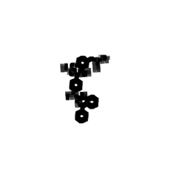 Cc1ccc(CNC(C)C)cc1NC(=O)c1ccc(Nc2nc(-c3ccccc3)c3ccccc3n2)cc1